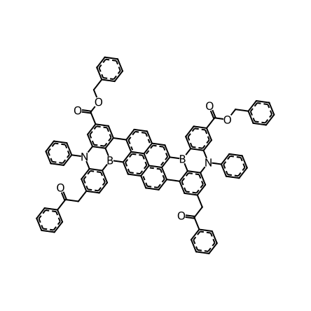 O=C(Cc1ccc2c(c1)N(c1ccccc1)c1cc(C(=O)OCc3ccccc3)cc3c1B2c1cc2ccc4c5c(cc6ccc-3c1c6c25)B1c2ccc(C(=O)OCc3ccccc3)cc2N(c2ccccc2)c2cc(CC(=O)c3ccccc3)cc-4c21)c1ccccc1